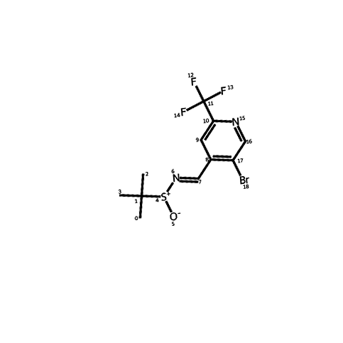 CC(C)(C)[S+]([O-])N=Cc1cc(C(F)(F)F)ncc1Br